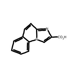 O=C(O)c1cn2c(ccc3ccccc32)n1